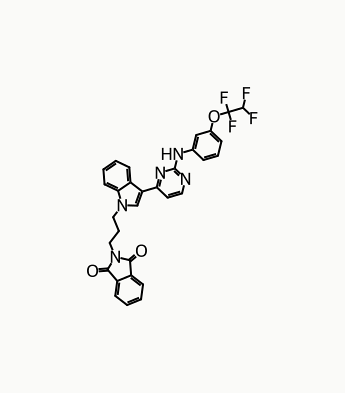 O=C1c2ccccc2C(=O)N1CCCn1cc(-c2ccnc(Nc3cccc(OC(F)(F)C(F)F)c3)n2)c2ccccc21